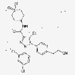 CCc1c(C(=O)NN2CCS(=O)(=O)CC2)nn(-c2ccc(Cl)cc2Cl)c1-c1ccc(CCC#N)cc1